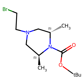 C[C@H]1CN(CCBr)C[C@H](C)N1C(=O)OC(C)(C)C